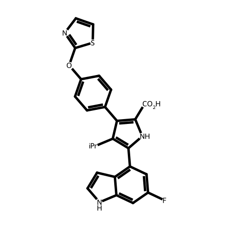 CC(C)c1c(-c2cc(F)cc3[nH]ccc23)[nH]c(C(=O)O)c1-c1ccc(Oc2nccs2)cc1